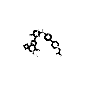 CN1CC2(CCC2)c2sc(-c3nc(Nc4ccc(C5CCN(CC(F)F)CC5)cn4)ncc3F)cc2C1=O